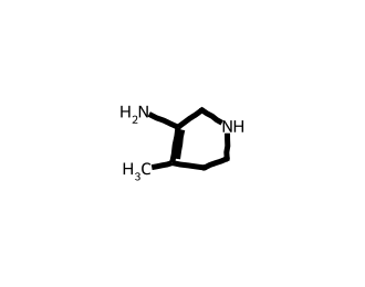 CC1=C(N)CNCC1